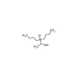 CCCC[N+]([O-])(CCCC)C(C)O